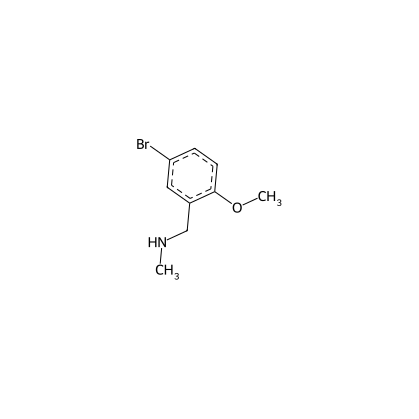 CNCc1cc(Br)ccc1OC